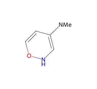 CNC1=CNOC=C1